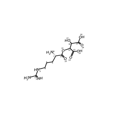 N=C(N)NCCC[C@H](N)C(=O)OC(C(=O)O)C(O)C(=O)O